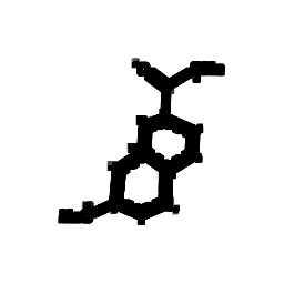 COC(=O)c1ccc2ncc(OC)cc2c1